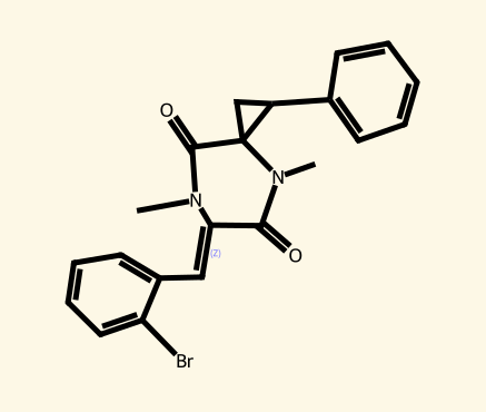 CN1C(=O)C2(CC2c2ccccc2)N(C)C(=O)/C1=C/c1ccccc1Br